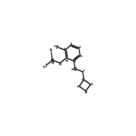 Fc1cccc(OCC2CCC2)c1CN(I)I